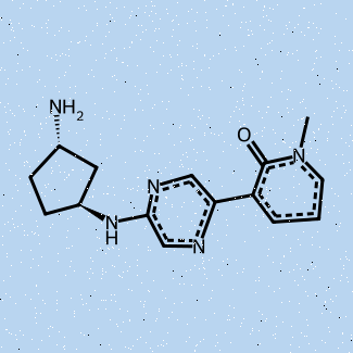 Cn1cccc(-c2cnc(N[C@H]3CC[C@H](N)C3)cn2)c1=O